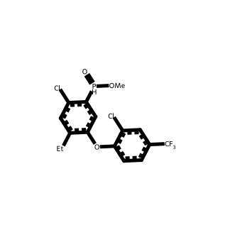 CCc1cc(Cl)c([PH](=O)OC)cc1Oc1ccc(C(F)(F)F)cc1Cl